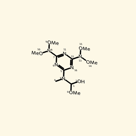 COC(O)N(C)c1nc(N(OC)OC)nc(N(OC)OC)n1